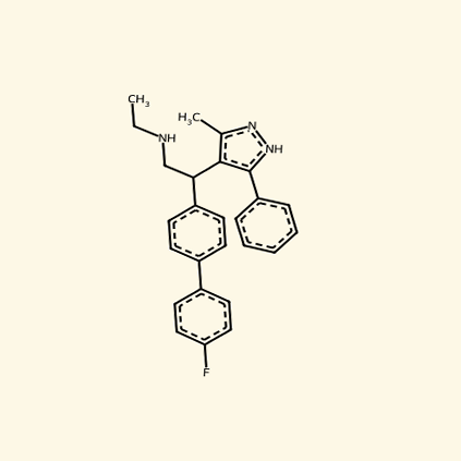 CCNCC(c1ccc(-c2ccc(F)cc2)cc1)c1c(C)n[nH]c1-c1ccccc1